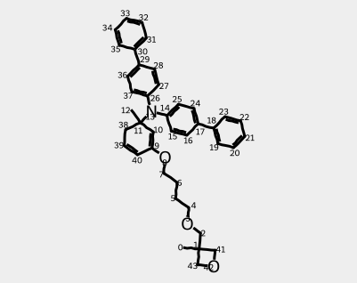 CC1(COCCCCOC2=CC(C)(N(c3ccc(-c4ccccc4)cc3)c3ccc(-c4ccccc4)cc3)CC=C2)COC1